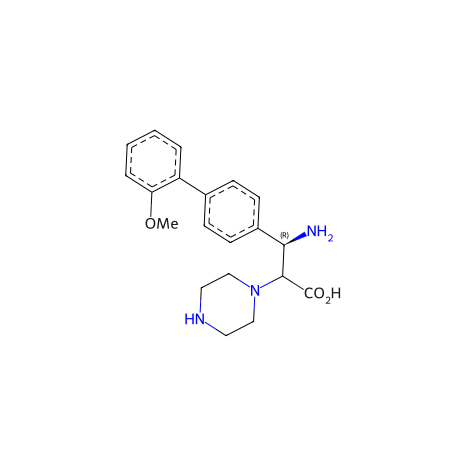 COc1ccccc1-c1ccc([C@@H](N)C(C(=O)O)N2CCNCC2)cc1